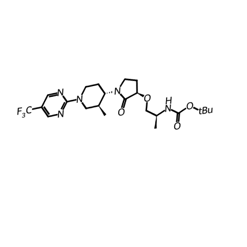 C[C@@H](CO[C@@H]1CCN([C@H]2CCN(c3ncc(C(F)(F)F)cn3)C[C@@H]2C)C1=O)NC(=O)OC(C)(C)C